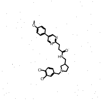 COc1ccc(-c2cnc(CCC(=O)NCC3CCN(Cc4ccc(Cl)c(Cl)c4)C3)nc2)cc1